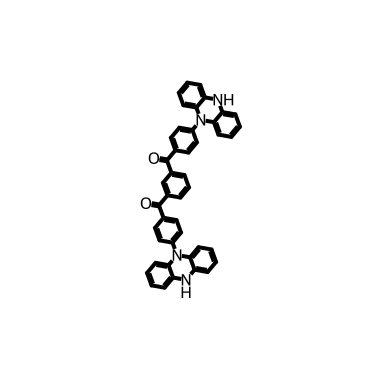 O=C(c1ccc(N2c3ccccc3Nc3ccccc32)cc1)c1cccc(C(=O)c2ccc(N3c4ccccc4Nc4ccccc43)cc2)c1